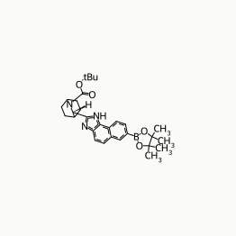 CC(C)(C)OC(=O)N1C2CCC(CC2)[C@H]1c1nc2ccc3cc(B4OC(C)(C)C(C)(C)O4)ccc3c2[nH]1